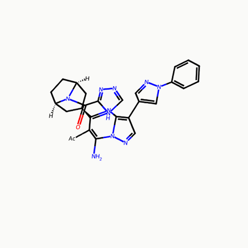 CC(=O)c1c([C@H]2C[C@H]3CC[C@@H](C2)N3C(=O)c2nnc[nH]2)nc2c(-c3cnn(-c4ccccc4)c3)cnn2c1N